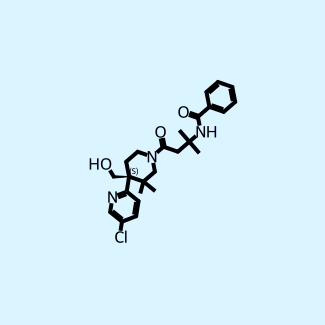 CC(C)(CC(=O)N1CC[C@@](CO)(c2ccc(Cl)cn2)C(C)(C)C1)NC(=O)c1ccccc1